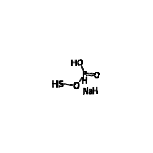 O=[PH](O)OS.[NaH]